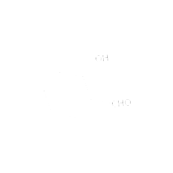 O=CC1=CCCCC1O